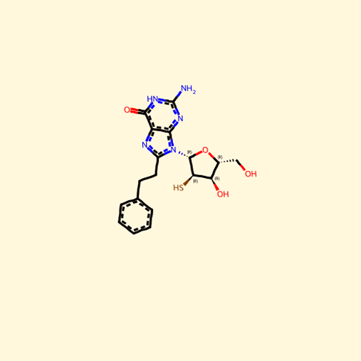 Nc1nc2c(nc(CCc3ccccc3)n2[C@@H]2O[C@H](CO)[C@@H](O)[C@H]2S)c(=O)[nH]1